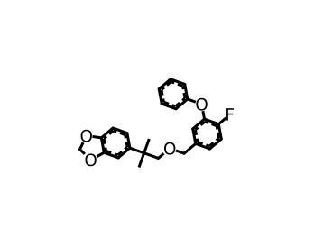 CC(C)(COCc1ccc(F)c(Oc2ccccc2)c1)c1ccc2c(c1)OCO2